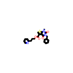 Cn1c(=O)n(Cc2ccccc2)c(=O)c2c(C(=O)OCCCc3ccccn3)csc21